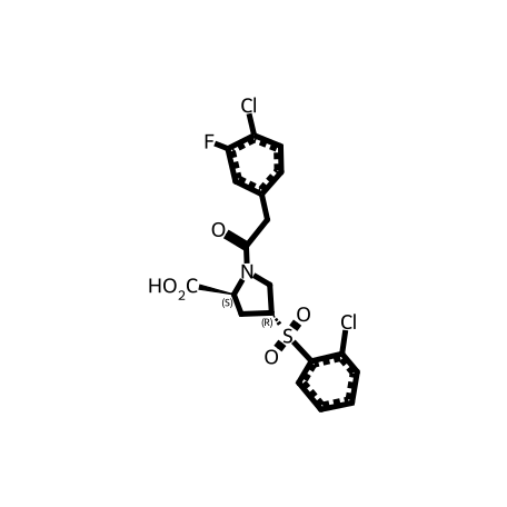 O=C(O)[C@@H]1C[C@@H](S(=O)(=O)c2ccccc2Cl)CN1C(=O)Cc1ccc(Cl)c(F)c1